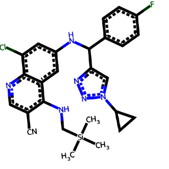 C[Si](C)(C)CNc1c(C#N)cnc2c(Cl)cc(NC(c3ccc(F)cc3)c3cn(C4CC4)nn3)cc12